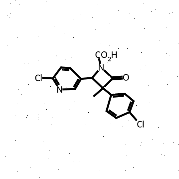 CC1(c2ccc(Cl)cc2)C(=O)N(C(=O)O)C1c1ccc(Cl)nc1